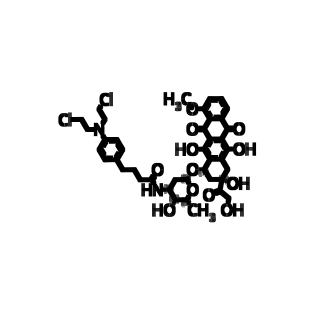 COc1cccc2c1C(=O)c1c(O)c3c(c(O)c1C2=O)C[C@@](O)(C(=O)CO)C[C@@H]3O[C@H]1C[C@H](NC(=O)CCCc2ccc(N(CCCl)CCCl)cc2)[C@H](O)[C@H](C)O1